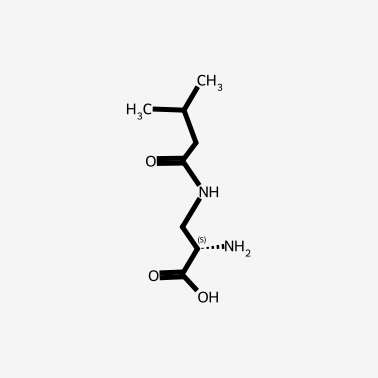 CC(C)CC(=O)NC[C@H](N)C(=O)O